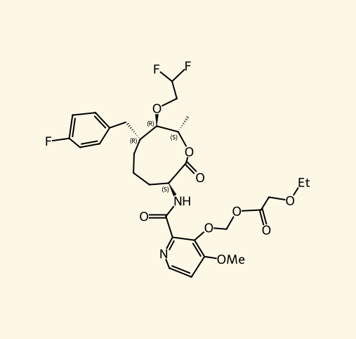 CCOCC(=O)OCOc1c(OC)ccnc1C(=O)N[C@H]1CCC[C@H](Cc2ccc(F)cc2)[C@@H](OCC(F)F)[C@H](C)OC1=O